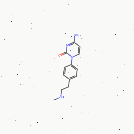 CNCCc1ccc(-n2ccc(N)nc2=O)cc1